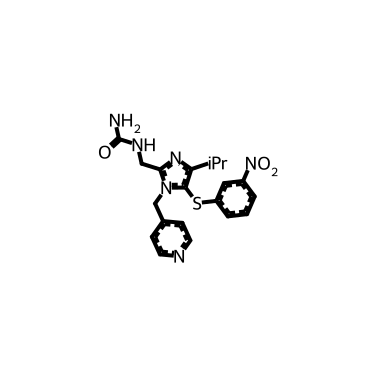 CC(C)c1nc(CNC(N)=O)n(Cc2ccncc2)c1Sc1cccc([N+](=O)[O-])c1